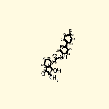 CN1C(=O)C2=C(C1O)N(CC(=O)Nc1ccc(-c3ccc(F)cc3)nc1)CCC2